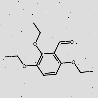 CCOc1ccc(OCC)c(OCC)c1[C]=O